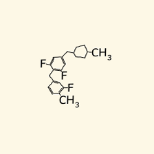 Cc1ccc(Cc2c(F)cc(CC3CCC(C)CC3)cc2F)cc1F